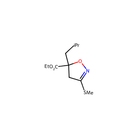 CCOC(=O)C1(CC(C)C)CC(SC)=NO1